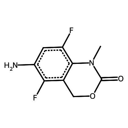 CN1C(=O)OCc2c(F)c(N)cc(F)c21